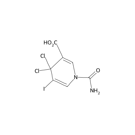 NC(=O)N1C=C(I)C(Cl)(Cl)C(C(=O)O)=C1